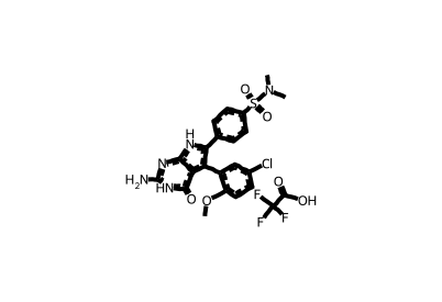 COc1ccc(Cl)cc1-c1c(-c2ccc(S(=O)(=O)N(C)C)cc2)[nH]c2nc(N)[nH]c(=O)c12.O=C(O)C(F)(F)F